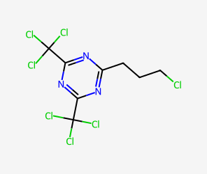 ClCCCc1nc(C(Cl)(Cl)Cl)nc(C(Cl)(Cl)Cl)n1